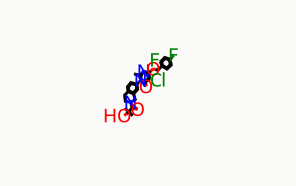 Cc1nc(OCc2ccc(F)cc2F)c(Cl)c(=O)n1-c1ccc2c(c1)CN(C(=O)C(C)(C)O)CC2